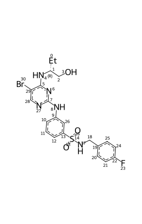 CC[C@H](CO)Nc1nc(Nc2cccc(S(=O)(=O)NCc3ccc(F)cc3)c2)ncc1Br